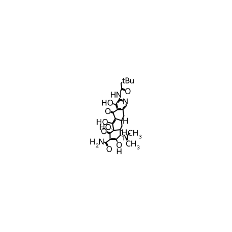 CN(C)[C@@H]1C(O)=C(C(N)=O)C(=O)[C@@]2(O)C(O)=C3C(=O)c4c(cnc(NC(=O)CC(C)(C)C)c4O)C[C@H]3C[C@@H]12